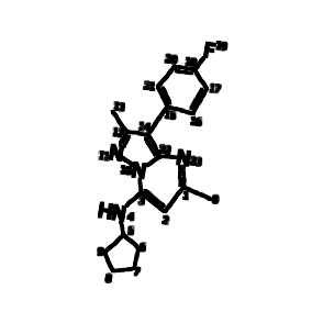 Cc1cc(NC2CCCC2)n2nc(C)c(-c3ccc(F)cc3)c2n1